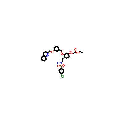 CCOC(=O)COc1ccc(CCNS(=O)(=O)c2ccc(Cl)cc2)c(OCc2cccc(OCc3ccc4ccccc4n3)c2)c1